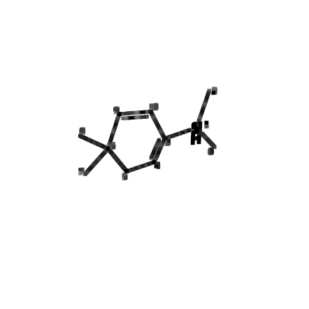 C[SiH](C)C1=CCC(C)(C)C=C1